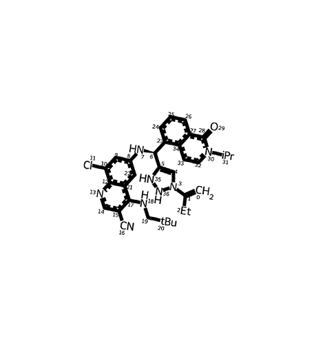 C=C(CC)N1C=C([C@@H](Nc2cc(Cl)c3ncc(C#N)c(NCC(C)(C)C)c3c2)c2cccc3c(=O)n(C(C)C)ccc23)NN1